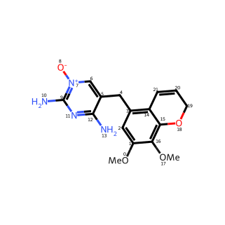 COc1cc(Cc2c[n+]([O-])c(N)nc2N)c2c(c1OC)OCC=C2